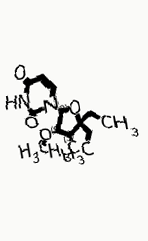 CCC1(CC)O[C@@H](n2ccc(=O)[nH]c2=O)[C@@H](OC)[C@@H]1C